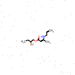 C=CCN/C(C)=C\C(=O)OCC(S)CC